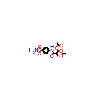 CC(=O)OC(OC(C)=O)C(C)C(=O)Nc1ccc(S(N)(=O)=O)cc1